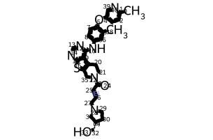 Cc1ccc(Oc2ccc(Nc3ncnc4sc5c(c34)CCN(C(=O)/C=C/CN3CC[C@H](CO)C3)C5)cc2C)cn1